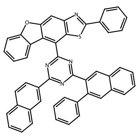 c1ccc(-c2nc3cc4oc5ccccc5c4c(-c4nc(-c5ccc6ccccc6c5)nc(-c5cc6ccccc6cc5-c5ccccc5)n4)c3s2)cc1